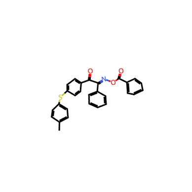 Cc1ccc(Sc2ccc(C(=O)/C(=N/OC(=O)c3ccccc3)c3ccccc3)cc2)cc1